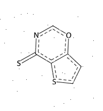 S=c1ncoc2ccsc12